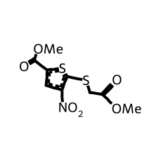 COC(=O)CSc1sc(C(=O)OC)cc1[N+](=O)[O-]